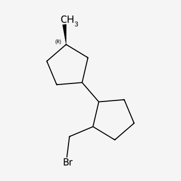 C[C@@H]1CCC(C2CCCC2CBr)C1